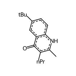 CCCc1c(C)[nH]c2ccc(C(C)(C)C)cc2c1=O